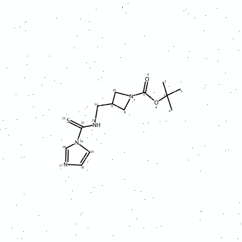 CC(C)(C)OC(=O)N1CC(CNC(=S)n2ccnc2)C1